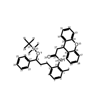 Cc1cccc(CCC(O[Si](C)(C)C(C)(C)C)c2ccccc2)c1NC(=O)CC1c2ccccc2Oc2ccccc21